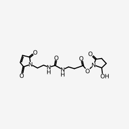 O=C(NCCC(=O)ON1C(=O)CCC1O)NCCN1C(=O)C=CC1=O